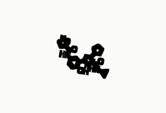 O=C(Nc1ccc(O)c(-c2cc(C3CCCC3)n(C(=O)NC3CC3)n2)c1)c1ccno1